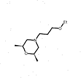 CCOCCCN1C[C@@H](C)O[C@@H](C)C1